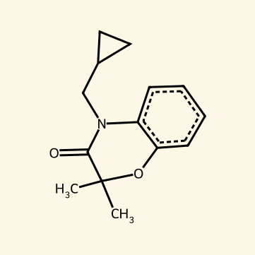 CC1(C)Oc2ccccc2N(CC2CC2)C1=O